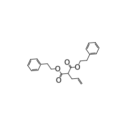 C=CCC(C(=O)OCCc1ccccc1)C(=O)OCCc1ccccc1